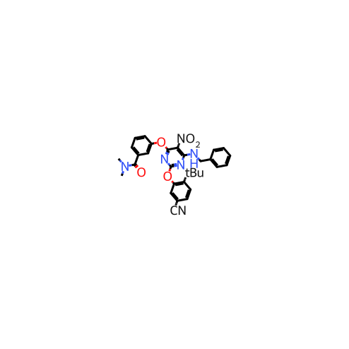 CN(C)C(=O)c1cccc(Oc2nc(Oc3cc(C#N)ccc3C(C)(C)C)nc(NCc3ccccc3)c2[N+](=O)[O-])c1